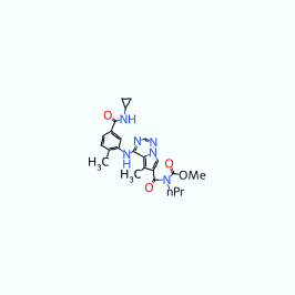 [CH2]OC(=O)N(CCC)C(=O)c1cn2ncnc(Nc3cc(C(=O)NC4CC4)ccc3C)c2c1C